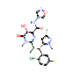 Cc1cc([C@H](c2cc(F)ccc2Cl)[C@@H](C)c2nc(C(=O)Nc3cnoc3)c(O)c(=O)n2C)n(C)n1